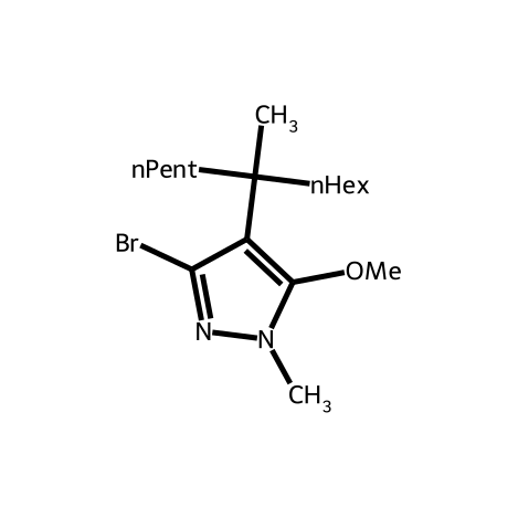 CCCCCCC(C)(CCCCC)c1c(Br)nn(C)c1OC